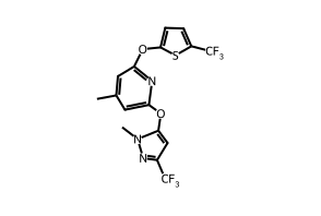 Cc1cc(Oc2ccc(C(F)(F)F)s2)nc(Oc2cc(C(F)(F)F)nn2C)c1